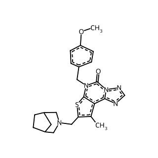 COc1ccc(Cn2c(=O)n3ncnc3c3c(C)c(CN4CC5CCC(C5)C4)sc32)cc1